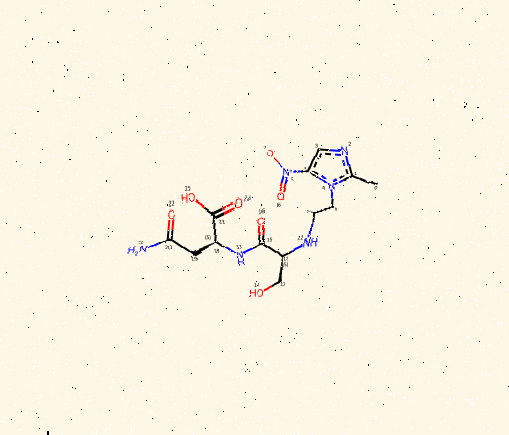 Cc1ncc([N+](=O)[O-])n1CCN[C@@H](CO)C(=O)N[C@@H](CC(N)=O)C(=O)O